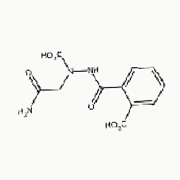 NC(=O)CN(NC(=O)c1ccccc1C(=O)O)C(=O)O